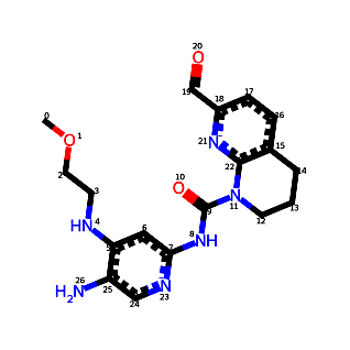 COCCNc1cc(NC(=O)N2CCCc3ccc(C=O)nc32)ncc1N